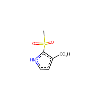 CS(=O)(=O)c1[nH]ccc1C(=O)O